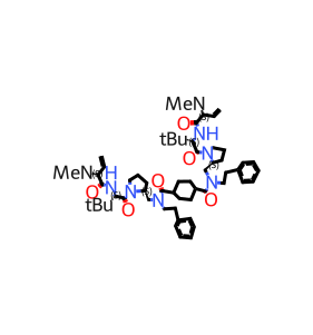 C=C[C@H](NC)C(=O)N[C@H](C(=O)N1CCC[C@H]1CN(CCc1ccccc1)C(=O)C1CCC(C(=O)N(CCc2ccccc2)C[C@@H]2CCCN2C(=O)[C@@H](NC(=O)[C@H](C=C)NC)C(C)(C)C)CC1)C(C)(C)C